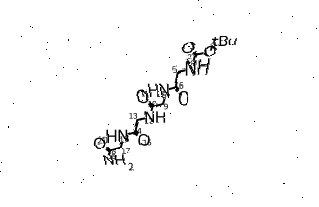 CC(C)(C)OC(=O)NCC(=O)NCC(=O)NCC(=O)NCC(N)=O